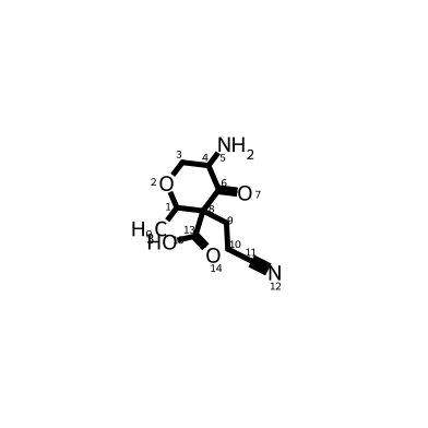 CC1OCC(N)C(=O)C1(CCC#N)C(=O)O